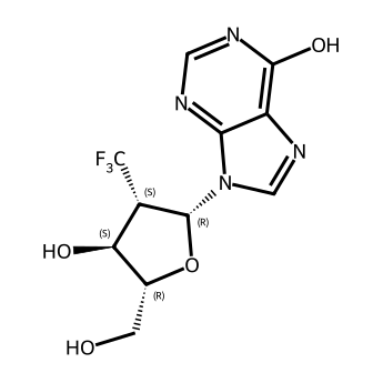 OC[C@H]1O[C@@H](n2cnc3c(O)ncnc32)[C@@H](C(F)(F)F)[C@@H]1O